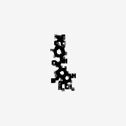 CC1(C)CNc2cc(C(=O)Nc3ccc(OC(F)(F)Cl)cc3)cc(Br)c21